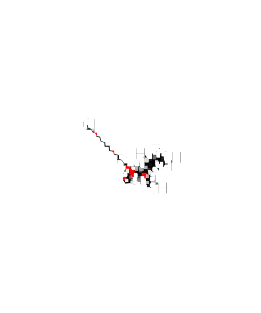 CCCCCCCCCCCCCCCCOCCCOP(=O)(OC[C@H]1O[C@@H](N2CNC(NC(=O)C(C)C)=NC2=O)C2OC(OCC)O[C@H]21)Oc1ccccc1Cl